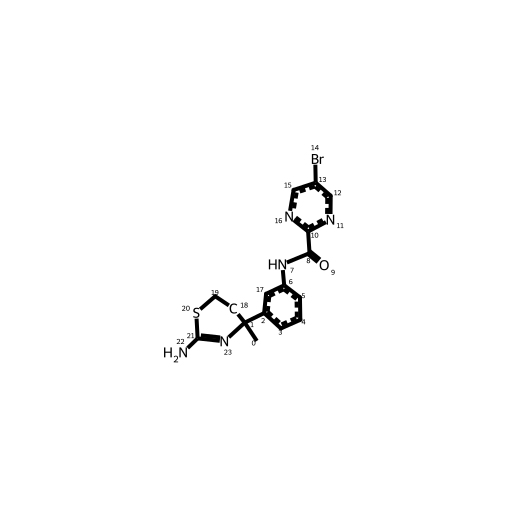 CC1(c2cccc(NC(=O)c3ncc(Br)cn3)c2)CCSC(N)=N1